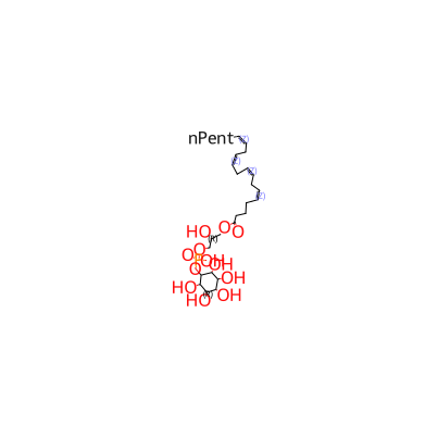 CCCCC/C=C\C/C=C\C/C=C\C/C=C\CCCC(=O)OC[C@@H](O)COP(=O)(O)OC1C(O)C(O)C(O)[C@@H](O)C1O